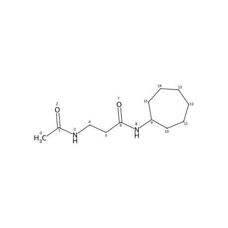 CC(=O)NCCC(=O)NC1CCCCCC1